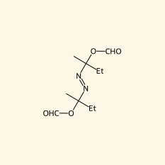 CCC(C)(N=NC(C)(CC)OC=O)OC=O